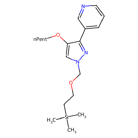 CCCCCOc1cn(COCC[Si](C)(C)C)nc1-c1cccnc1